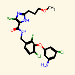 COCCCc1nc(Br)c(C(=O)NCc2ccc(Cl)c(Oc3cc(N)cc(Cl)c3)c2F)[nH]1